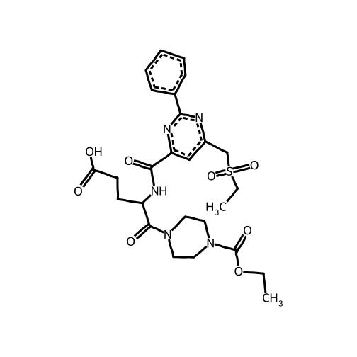 CCOC(=O)N1CCN(C(=O)C(CCC(=O)O)NC(=O)c2cc(CS(=O)(=O)CC)nc(-c3ccccc3)n2)CC1